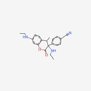 CCNc1ccc2c(c1)OC(=O)C(NCC)(c1ccc(C#N)cc1)C2C